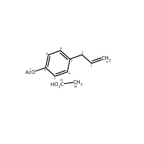 C=CCc1ccc(OC(C)=O)cc1.CC(=O)O